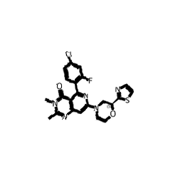 Cc1nc2cc(N3CCO[C@H](c4nccs4)C3)nc(-c3ccc(Cl)cc3F)c2c(=O)n1C